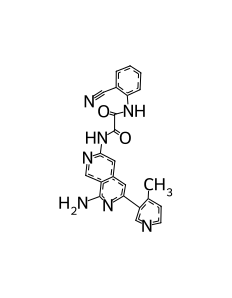 Cc1ccncc1-c1cc2cc(NC(=O)C(=O)Nc3ccccc3C#N)ncc2c(N)n1